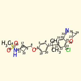 CC(C)(c1ccc(OCC23CC(NS(C)(=O)=O)(C2)C3)cc1)c1cc(Cl)c(OC2CC2)c(C#N)c1